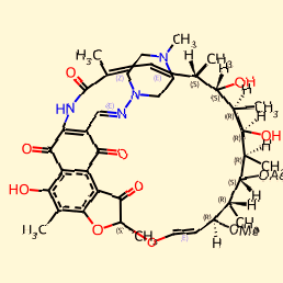 CO[C@H]1/C=C/O[C@@]2(C)Oc3c(C)c(O)c4c(c3C2=O)C(=O)C(/C=N/N2CCN(C)CC2)=C(NC(=O)/C(C)=C\C=C\[C@H](C)[C@H](O)[C@@H](C)[C@@H](O)[C@@H](C)[C@H](OC(C)=O)[C@@H]1C)C4=O